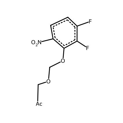 CC(=O)COCOc1c([N+](=O)[O-])ccc(F)c1F